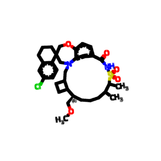 COC[C@@H]1CCCC(C)C(C)S(=O)(=O)NC(=O)c2ccc3c(c2)N(CC2CCC21)CC1(CCCc2cc(Cl)ccc21)CO3